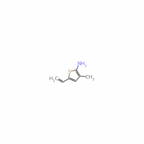 C=Cc1cc(C)c(N)s1